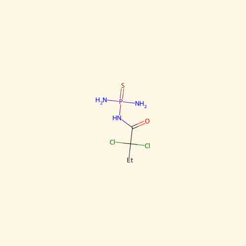 CCC(Cl)(Cl)C(=O)NP(N)(N)=S